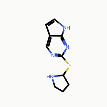 c1cc2cnc(SC3CCCN3)nc2[nH]1